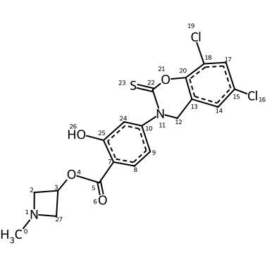 CN1CC(OC(=O)c2ccc(N3Cc4cc(Cl)cc(Cl)c4OC3=S)cc2O)C1